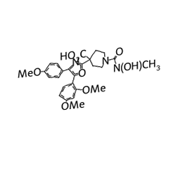 COc1ccc(-c2nc(C3(C(=O)O)CCN(C(=O)N(C)O)CC3)oc2-c2ccc(OC)cc2OC)cc1